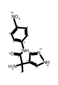 CC(N)(C(=O)Nc1ccc([N+](=O)[O-])cc1)c1cn[nH]c1